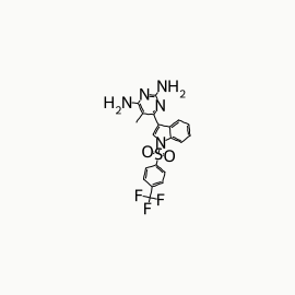 Cc1c(N)nc(N)nc1-c1cn(S(=O)(=O)c2ccc(C(F)(F)F)cc2)c2ccccc12